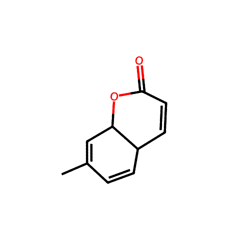 CC1=CC2OC(=O)C=CC2C=C1